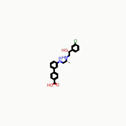 C[C@H](CNc1cccc(-c2ccc(C(=O)O)cc2)c1)NC[C@H](O)c1cccc(Cl)c1